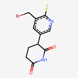 O=C1CCC(c2cnc(F)c(CBr)c2)C(=O)N1